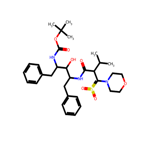 CC(C)C(C(=O)NC(Cc1ccccc1)C(O)C(Cc1ccccc1)NC(=O)OC(C)(C)C)C(N1CCOCC1)=S(=O)=O